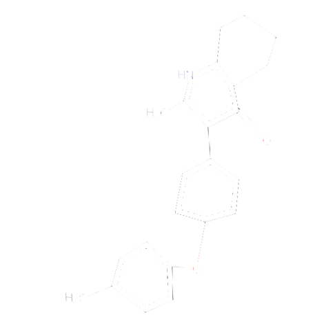 Cc1ccc(Oc2ccc(-c3c(C)[nH]c4c(c3=O)CCCC4)cc2)cc1